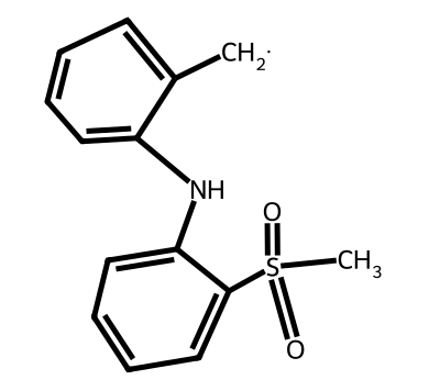 [CH2]c1ccccc1Nc1ccccc1S(C)(=O)=O